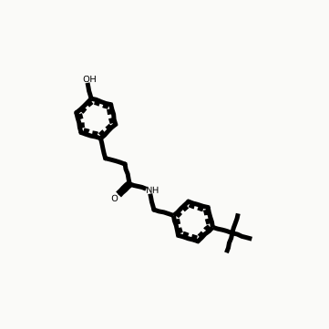 CC(C)(C)c1ccc(CNC(=O)CCc2ccc(O)cc2)cc1